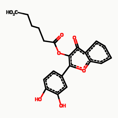 O=C(O)CCCCC(=O)Oc1c(-c2ccc(O)c(O)c2)oc2ccccc2c1=O